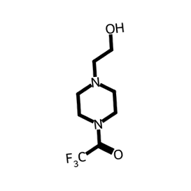 O=C(N1CCN(CCO)CC1)C(F)(F)F